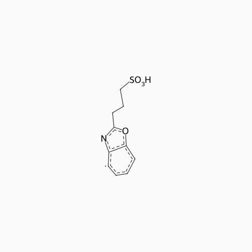 O=S(=O)(O)CCCc1nc2[c]cccc2o1